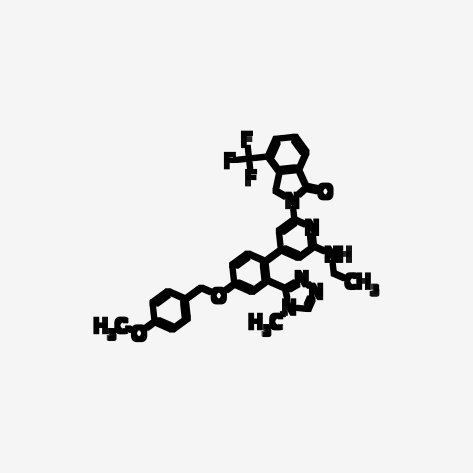 CCNc1cc(-c2ccc(OCc3ccc(OC)cc3)cc2-c2nncn2C)cc(N2Cc3c(cccc3C(F)(F)F)C2=O)n1